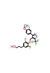 COc1ccc(-c2nsc(C(F)(F)F)c2COc2c(F)cc(CCCO)cc2F)cc1